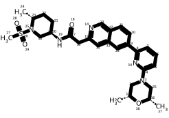 C[C@@H]1CN(c2cccc(-c3ccc4cnc(CC(=O)N[C@@H]5CC[C@@H](C)N(S(C)(=O)=O)C5)cc4c3)n2)C[C@H](C)O1